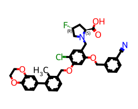 Cc1c(COc2cc(OCc3cccc(C#N)c3)c(CN3C[C@H](F)C[C@H]3C(=O)O)cc2Cl)cccc1-c1ccc2c(c1)OCCO2